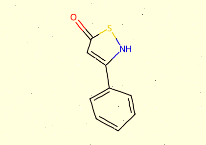 O=c1cc(-c2ccccc2)[nH]s1